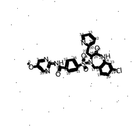 COc1cnc(NC(=O)c2ccc(S(=O)(=O)N3Cc4ccc(Cl)cc4NC(=O)C3Cc3ccccn3)cc2)nc1